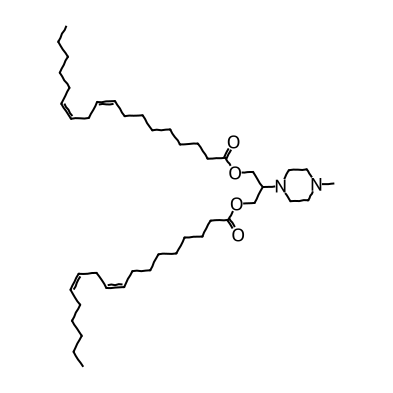 CCCCC/C=C\C/C=C\CCCCCCCC(=O)OCC(COC(=O)CCCCCCC/C=C\C/C=C\CCCCC)N1CCN(C)CC1